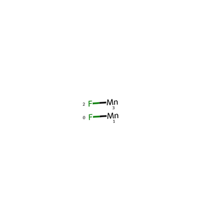 [F][Mn].[F][Mn]